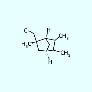 CC1C(C)[C@H]2C[C@@H]1C[C@]2(C)CCl